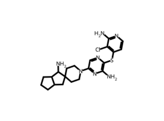 Nc1nc(N2CCC3(CC2)CC2CCCC2C3N)cnc1Sc1ccnc(N)c1Cl